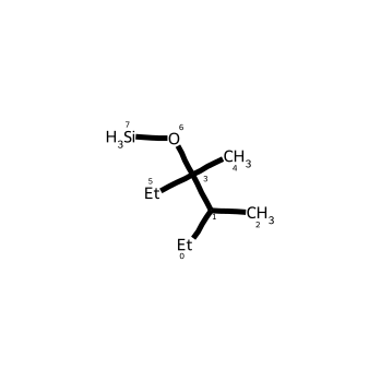 CCC(C)C(C)(CC)O[SiH3]